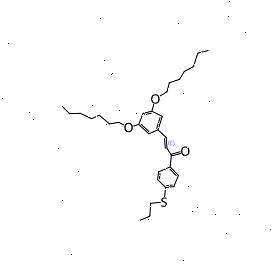 CCCCCCCOc1cc(/C=C/C(=O)c2ccc(SCCC)cc2)cc(OCCCCCCC)c1